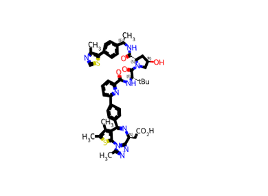 Cc1ncsc1-c1ccc([C@H](C)NC(=O)[C@@H]2C[C@@H](O)CN2C(=O)[C@@H](NC(=O)c2cccc(-c3ccc(C4=N[C@@H](CC(=O)O)c5nnc(C)n5-c5sc(C)c(C)c54)cc3)n2)C(C)(C)C)cc1